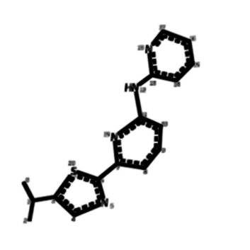 CC(C)c1cnc(-c2cccc(Nc3ccccn3)n2)s1